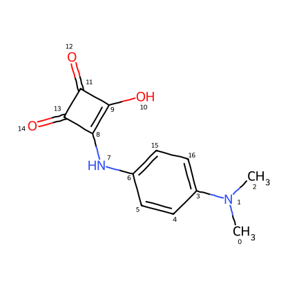 CN(C)c1ccc(Nc2c(O)c(=O)c2=O)cc1